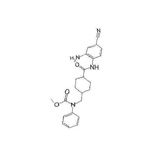 COC(=O)N(CC1CCC(C(=O)Nc2ccc(C#N)cc2N)CC1)c1ccccc1